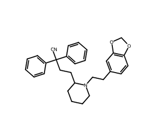 N#CC(CCC1CCCCN1CCc1ccc2c(c1)OCO2)(c1ccccc1)c1ccccc1